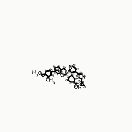 COc1ccc(C23CCC(CN(c4cc(-c5cnc(C6CC6)s5)ccn4)C(=O)[C@H]4CC[C@H](C(=O)O)CC4)(CC2)CC3)cc1C